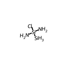 N[Si](N)([SiH3])Cl